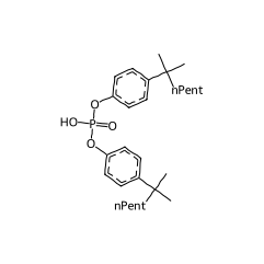 CCCCCC(C)(C)c1ccc(OP(=O)(O)Oc2ccc(C(C)(C)CCCCC)cc2)cc1